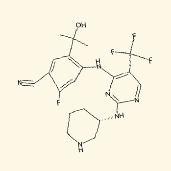 CC(C)(O)c1cc(C#N)c(F)cc1Nc1nc(N[C@H]2CCCNC2)ncc1C(F)(F)F